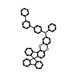 c1ccc(-c2cccc(-c3ccc(N(c4ccccc4)c4ccc5c(c4)Oc4c(ccc6c4-c4ccccc4C64c6ccccc6-c6ccccc64)O5)cc3)c2)cc1